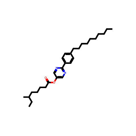 CCCCCCCCCCc1ccc(-c2ncc(OC(=O)CCCCC(C)CC)cn2)cc1